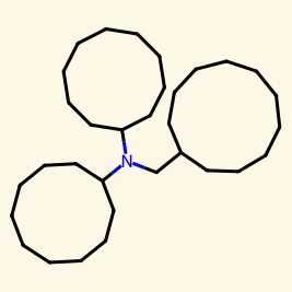 C1CCCCCC(CN(C2CCCCCCCCC2)C2CCCCCCCCC2)CCCC1